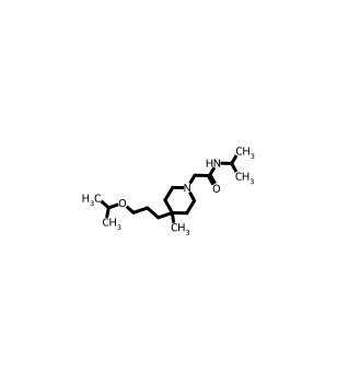 CC(C)NC(=O)CN1CCC(C)(CCCOC(C)C)CC1